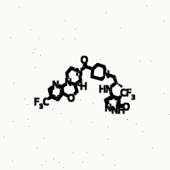 C[C@@H](CN1CCC(C(=O)N2CCN3c4ncc(C(F)(F)F)cc4OC[C@@H]3C2)CC1)Nc1cn[nH]c(=O)c1C(F)(F)F